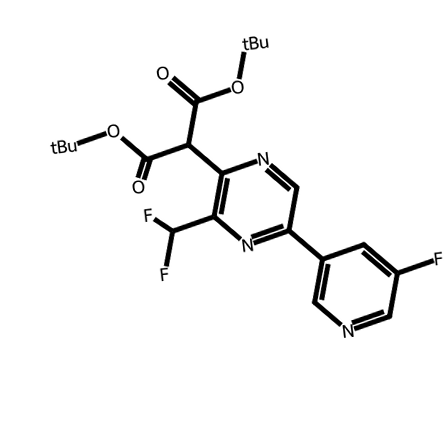 CC(C)(C)OC(=O)C(C(=O)OC(C)(C)C)c1ncc(-c2cncc(F)c2)nc1C(F)F